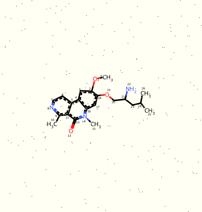 COc1cc2c3ccnc(C)c3c(=O)n(C)c2cc1OCC(N)CC(C)C